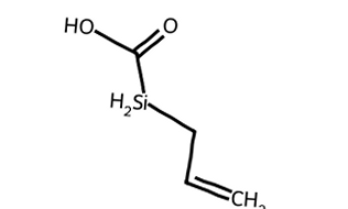 C=CC[SiH2]C(=O)O